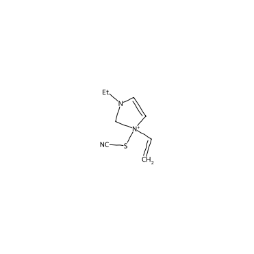 C=C[N+]1(SC#N)C=CN(CC)C1